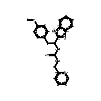 COc1ccc(CC(NC(=O)NCc2ccccn2)c2nc3ccccc3[nH]2)cc1